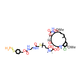 COc1cc2cc(c1Cl)N(C)C(=O)C[C@H](OC(=O)[C@H](C)N(C)C(=O)CCC(C)(C)SCC(=O)NCCNC(=O)OCc1ccc(SSP)cc1)[C@@]1(C)O[C@H]1[C@H](C)[C@@H]1C[C@@](O)(NC(=O)O1)[C@H](OC)/C=C/C=C(\C)C2